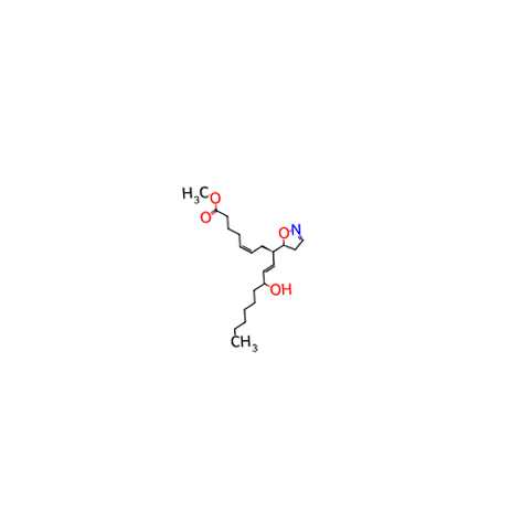 CCCCCCC(O)/C=C/[C@@H](C/C=C\CCCC(=O)OC)C1CC=NO1